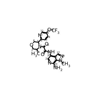 CC1COCC(c2ccc(OC(F)(F)F)cn2)N1C(=O)C(=O)Nc1cnc(N)c2c1cnn2C